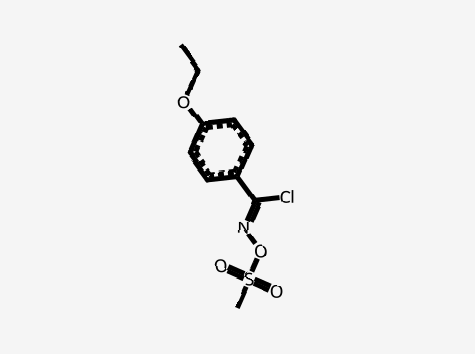 CCOc1ccc(C(Cl)=NOS(C)(=O)=O)cc1